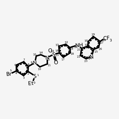 CCSc1cc(Br)ccc1N1CCN(S(=O)(=O)c2ccc(Nc3ccnc4cc(C(F)(F)F)ccc34)cc2)CC1